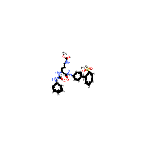 CC(C)(C)OC(=O)NCCCC(NC(=O)Nc1ccccc1)C(=O)Nc1ccc(-c2ccccc2S(C)(=O)=O)cc1